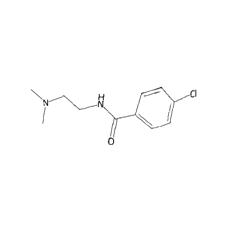 CN(C)CCNC(=O)c1ccc(Cl)cc1